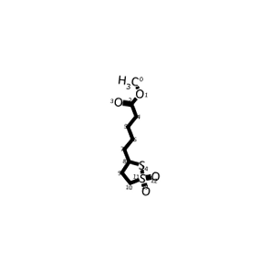 COC(=O)CCCCC1CCS(=O)(=O)S1